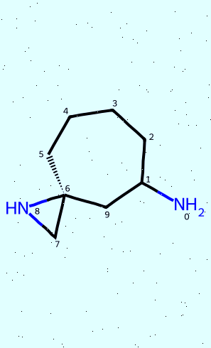 NC1CCCC[C@@]2(CN2)C1